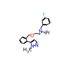 CC(C)N(CCOCc1ccccc1-c1ccnn1C)Cc1cccc(F)c1